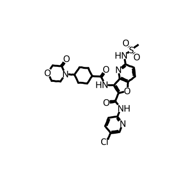 CS(=O)(=O)Nc1ccc2oc(C(=O)Nc3ccc(Cl)cn3)c(NC(=O)C3CCC(N4CCOCC4=O)CC3)c2n1